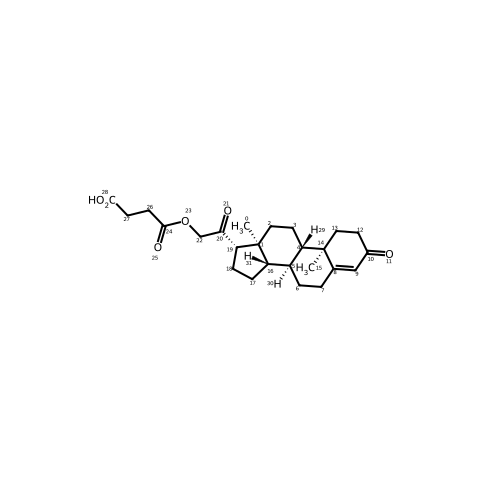 C[C@]12CC[C@H]3[C@@H](CCC4=CC(=O)CC[C@@]43C)[C@@H]1CC[C@@H]2C(=O)COC(=O)CCC(=O)O